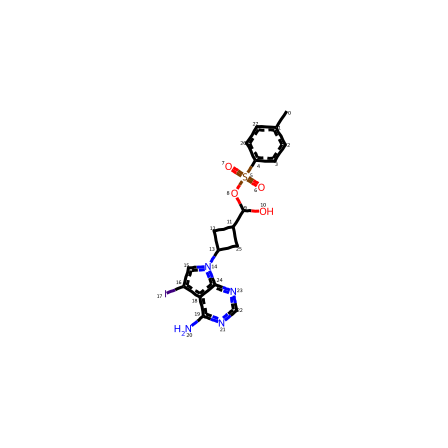 Cc1ccc(S(=O)(=O)OC(O)C2CC(n3cc(I)c4c(N)ncnc43)C2)cc1